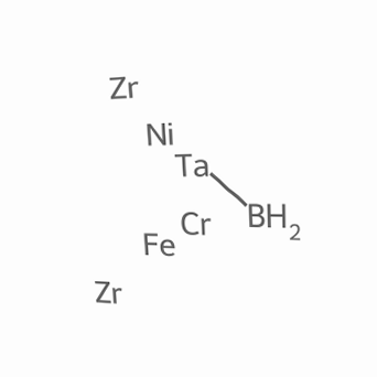 [BH2][Ta].[Cr].[Fe].[Ni].[Zr].[Zr]